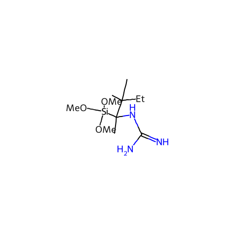 CCC(C)(C)C(C)(NC(=N)N)[Si](OC)(OC)OC